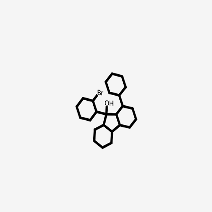 OC1(C2CCCCC2Br)C2CCCCC2C2CCCC(C3CCCCC3)C21